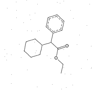 CCOC(=O)C(c1ccccc1)C1CCCCC1